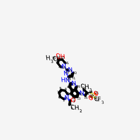 C=CC(=O)N1CCCCC[C@H]1c1ccc(N2C[C@H](CS(=O)(=O)C(F)(F)F)[C@H]2C)c2cnc(Nc3ccnc(N4CCC(C)(O)CC4)n3)cc12